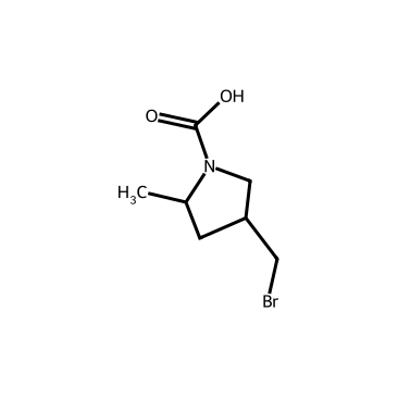 CC1CC(CBr)CN1C(=O)O